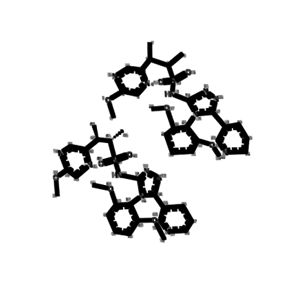 COc1cnc(C(C)C(C)S(=O)(=O)Nc2nnc(-c3cccnc3)n2-c2c(OC)cccc2OC)cn1.COc1cnc([C@@H](C)[C@H](C)S(=O)(=O)Nc2nnc(-c3cccnc3)n2-c2c(OC)cccc2OC)cn1